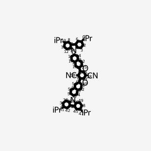 CC(C)c1ccc2c(c1)c1cc(C(C)C)ccc1n2-c1ccc2cc3c(cc2c1)oc1c(C#N)c2oc4cc5cc(-n6c7ccc(C(C)C)cc7c7cc(C(C)C)ccc76)ccc5cc4c2c(C#N)c13